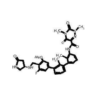 COc1cc(-c2cccc(-c3cccc(NC(=O)c4nn(C)c(=O)n(C)c4=O)c3C)c2C)cc(F)c1CN[C@@H]1CNC(=O)C1